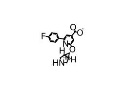 COC(=O)c1cc(OC2[C@H]3CNC[C@@H]23)nc(-c2ccc(F)cc2)c1